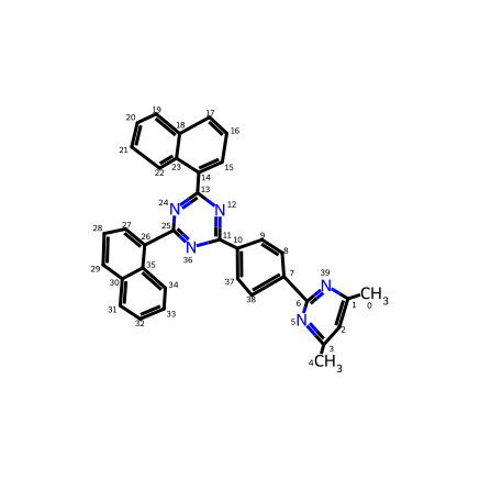 Cc1cc(C)nc(-c2ccc(-c3nc(-c4cccc5ccccc45)nc(-c4cccc5ccccc45)n3)cc2)n1